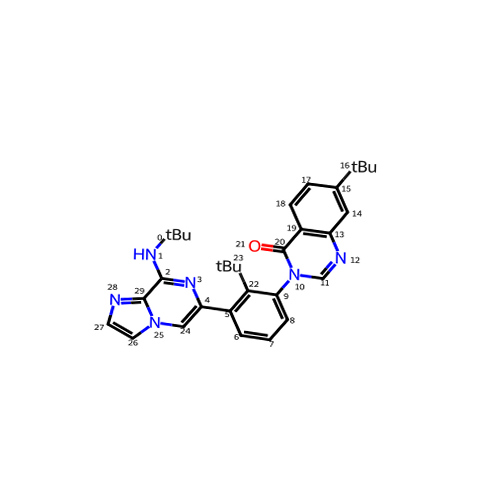 CC(C)(C)Nc1nc(-c2cccc(-n3cnc4cc(C(C)(C)C)ccc4c3=O)c2C(C)(C)C)cn2ccnc12